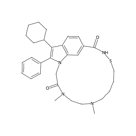 CN1CCCCSNC(=O)c2ccc3c(C4CCCCC4)c(-c4ccccc4)n(c3c2)CC(=O)N(C)CC1